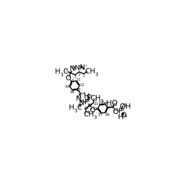 CCCCC(C)(N=[N+]=[N-])Oc1ccc(/C=N/N(C)[PH](=S)C(CC)(CC)Oc2ccc(C(O)O[PH](=O)O)cc2)cc1